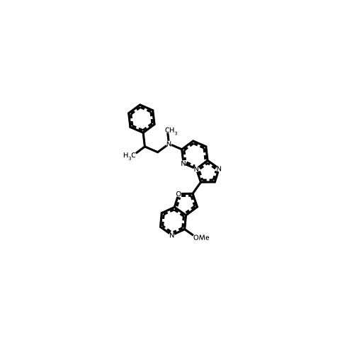 COc1nccc2oc(-c3cnc4ccc(N(C)CC(C)c5ccccc5)nn34)cc12